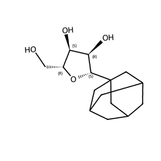 OC[C@H]1O[C@@H](C23CC4CC(CC(C4)C2)C3)[C@H](O)[C@@H]1O